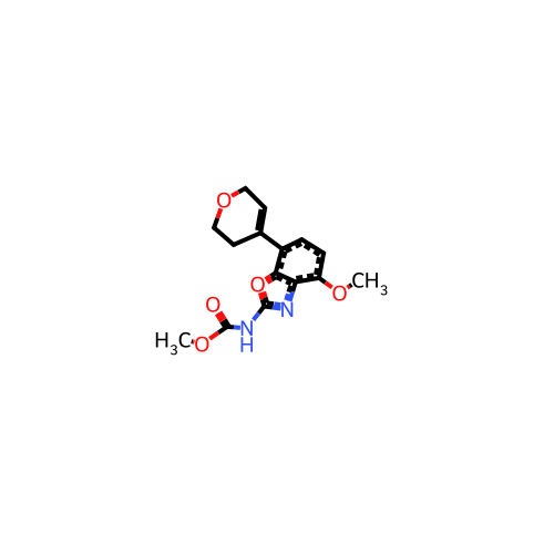 COC(=O)Nc1nc2c(OC)ccc(C3=CCOCC3)c2o1